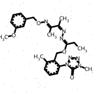 CC\C(=N/N=C(C)\C(C)=N\OCc1cccc(OC)c1)OCc1c(C)cccc1-n1nnn(C)c1=O